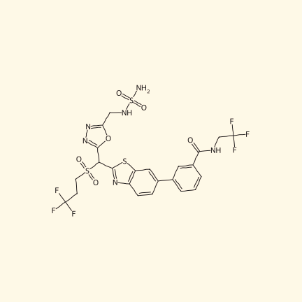 NS(=O)(=O)NCc1nnc(C(c2nc3ccc(-c4cccc(C(=O)NCC(F)(F)F)c4)cc3s2)S(=O)(=O)CCC(F)(F)F)o1